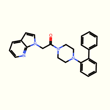 O=C(Cn1ccc2cccnc21)N1CCN(c2ccccc2-c2ccccc2)CC1